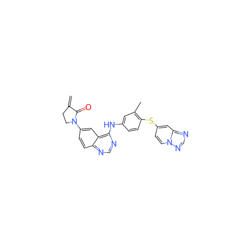 C=C1CCN(c2ccc3ncnc(Nc4ccc(Sc5ccn6ncnc6c5)c(C)c4)c3c2)C1=O